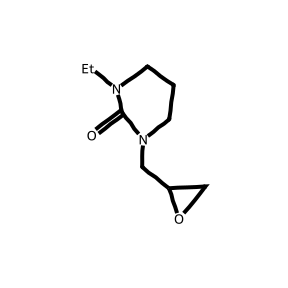 CCN1CCCN(CC2CO2)C1=O